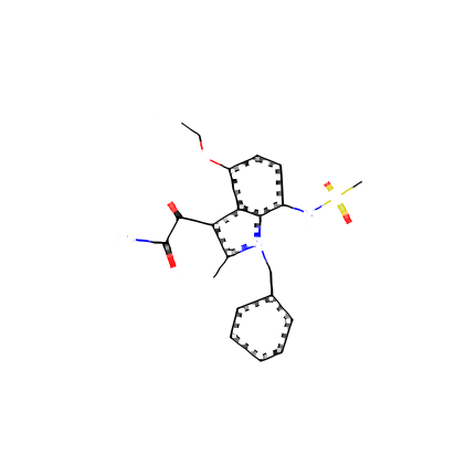 CCOC(=O)COc1ccc(NS(C)(=O)=O)c2c1c(C(=O)C(N)=O)c(C)n2Cc1ccccc1